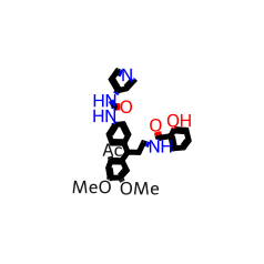 COc1cc(C(C)=O)c(C(CCNC(=O)c2ccccc2O)c2ccc(NC(=O)Nc3ccncc3)cc2)cc1OC